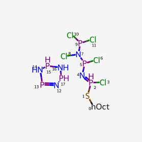 CCCCCCCCS/[PH](Cl)=N/P(Cl)N(Cl)P(Cl)Cl.n1p[nH][pH][nH][pH]1